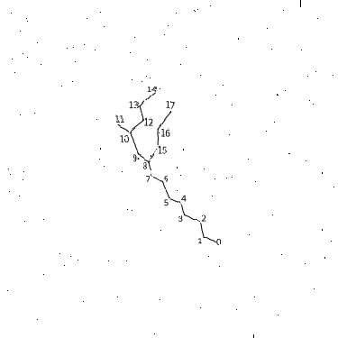 CCCCCCCCC([CH]C(C)CCC)CCC